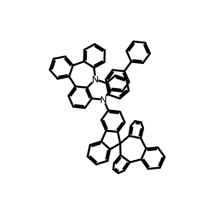 c1ccc(-c2ccc(N(c3ccc4c(c3)-c3ccccc3C43c4ccccc4-c4ccccc4-c4ccccc43)c3cccc4c3N(c3ccccc3)c3ccccc3-c3ccccc3-4)cc2)cc1